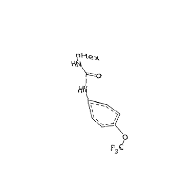 CCCCCCNC(=O)Nc1ccc(OC(F)(F)F)cc1